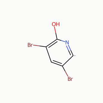 Oc1n[c]c(Br)cc1Br